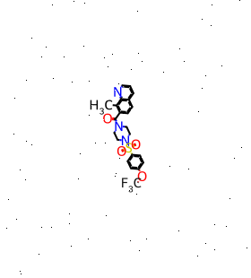 Cc1c(C(=O)N2CCN(S(=O)(=O)c3ccc(OC(F)(F)F)cc3)CC2)ccc2cccnc12